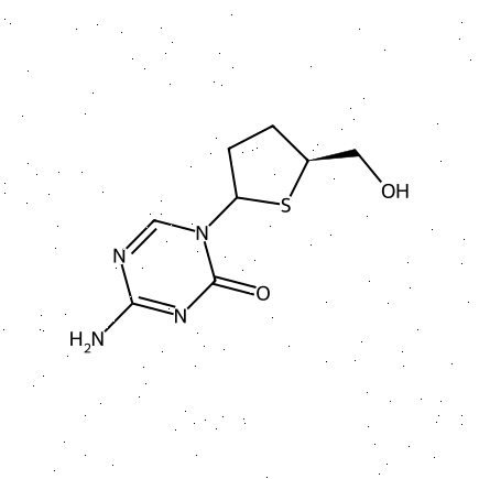 Nc1ncn(C2CC[C@@H](CO)S2)c(=O)n1